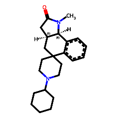 CN1C(=O)C[C@@H]2CC3(CCN(C4CCCCC4)CC3)c3ccccc3[C@@H]21